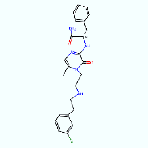 Cc1cnc(N[C@@H](Cc2ccccc2)C(N)=O)c(=O)n1CCNCCc1cccc(Cl)c1